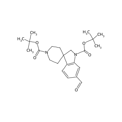 CC(C)(C)OC(=O)N1CCC2(CC1)CN(C(=O)OC(C)(C)C)c1cc(C=O)ccc12